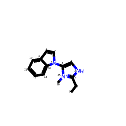 CCc1[nH]cc(-n2ccc3ccccc32)[n+]1C